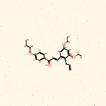 C=CCc1c(C=CC(=O)c2ccc(OCCC)cc2)cc(OCC)cc1OCC